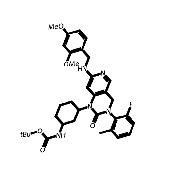 COc1ccc(CNc2cc3c(cn2)CN(c2c(C)cccc2F)C(=O)N3C2CCCC(NC(=O)OC(C)(C)C)C2)c(OC)c1